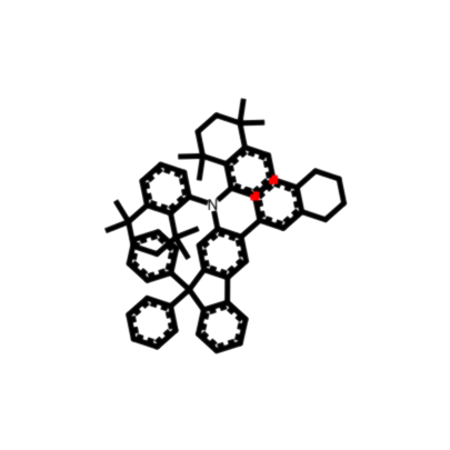 Cc1cc2c(cc1-c1cc3c(cc1N(c1cccc4c1C(C)(C)CCC4(C)C)c1cccc4c1C(C)(C)CCC4(C)C)C(c1ccccc1)(c1ccccc1)c1ccccc1-3)CCCC2